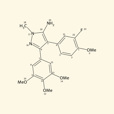 COc1ccc(-c2c(-c3cc(OC)c(OC)c(OC)c3)nn(C)c2N)cc1F